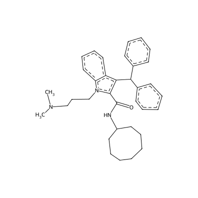 CN(C)CCCn1c(C(=O)NC2CCCCCCC2)c(C(c2ccccc2)c2ccccc2)c2ccccc21